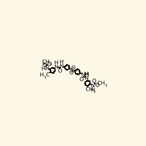 COC(=O)Nc1cc(NC(=O)Nc2ccc(S(=O)(=O)c3ccc(NC(=O)Nc4ccc(C)c(NC(=O)OC)c4)cc3)cc2)ccc1C